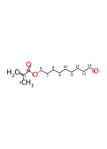 C=C(C)C(=O)OCCCCCCCCC[O]